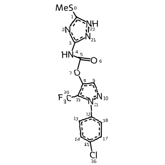 CSc1nc(NC(=O)Oc2cnn(-c3ccc(Cl)cc3)c2C(F)(F)F)n[nH]1